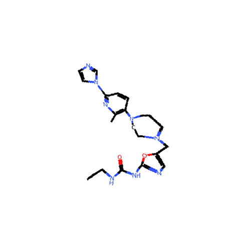 CCNC(=O)Nc1ncc(CN2CCN(c3ccc(-n4ccnc4)nc3C)CC2)o1